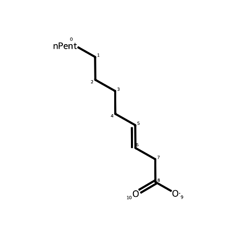 CCCCCCCCCC=CCC([O])=O